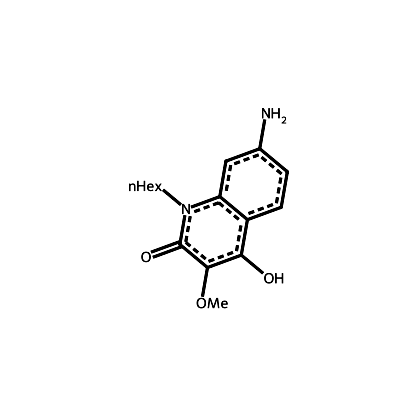 CCCCCCn1c(=O)c(OC)c(O)c2ccc(N)cc21